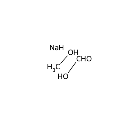 CO.O=CO.[NaH]